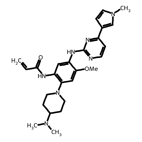 C=CC(=O)Nc1cc(Nc2nccc(-c3ccn(C)c3)n2)c(OC)cc1N1CCC(N(C)C)CC1